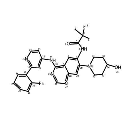 CC(C)(F)C(=O)Nc1cc2c(Nc3ccnc(-c4ccccc4F)c3)ncnc2cc1N1CCC(O)CC1